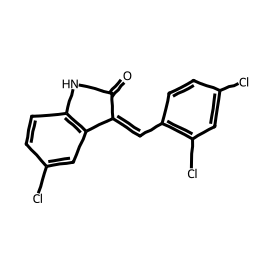 O=C1Nc2ccc(Cl)cc2/C1=C/c1ccc(Cl)cc1Cl